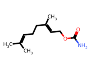 CC(C)=CCCC(C)=CCOC(N)=O